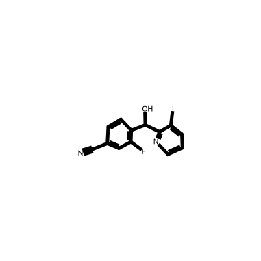 N#Cc1ccc(C(O)c2ncccc2I)c(F)c1